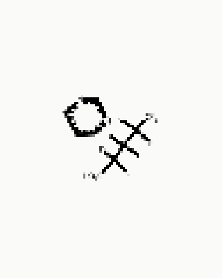 O=S(=O)(O)C(F)(F)C(F)(F)C(F)(F)C(F)(F)F.c1cncnc1